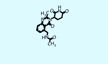 CC(=O)NCc1cccc2nc(C)n(C3CCC(=O)NC3=O)c(=O)c12